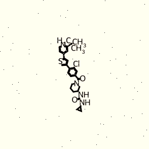 CC(C)(C)c1cc(-c2cc(-c3ccc(C(=O)N4CCCC(NC(=O)NC5CC5)C4)cc3Cl)cs2)ccn1